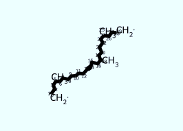 [CH2]CCCC(C)CCCCCCCC#CCCC(C)CCCCCC(C)CCC[CH2]